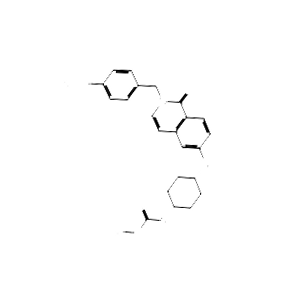 COc1ccc(Cn2ccc3cc(N[C@H]4CC[C@@H](NC(=O)OC(C)(C)C)CC4)ccc3c2=O)cc1